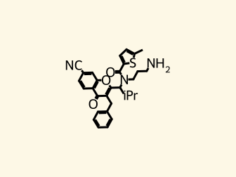 Cc1ccc(C(=O)N(CCCN)C(c2oc3cc(C#N)ccc3c(=O)c2Cc2ccccc2)C(C)C)s1